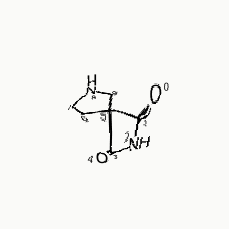 O=C1NC(=O)C12CCNC2